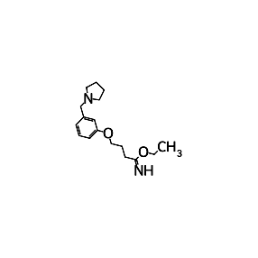 CCOC(=N)CCCOc1cccc(CN2CCCC2)c1